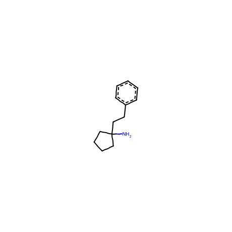 NC1(CCc2ccccc2)CCCC1